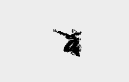 CCOC(=O)CCc1cc(C(=O)c2cccc(C(=O)OCC)c2)ccc1/C=C/CCCCBr